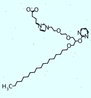 CCCCCCCCCCCCCCCCCCOCC(COCCOCCN1C=C[N+](=CCCC(=O)[O-])C1)Oc1ncccn1